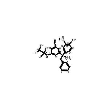 N[C@@](Cc1ccccc1)(c1cc(F)cc(OC(F)(F)C(F)F)c1)c1ccc(F)c(O)c1